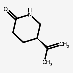 C=C(C)[C@H]1CCC(=O)NC1